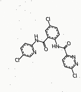 O=C(Nc1ccc(Cl)cc1C(=O)Nc1ccc(Cl)cn1)c1ccc(Cl)nn1